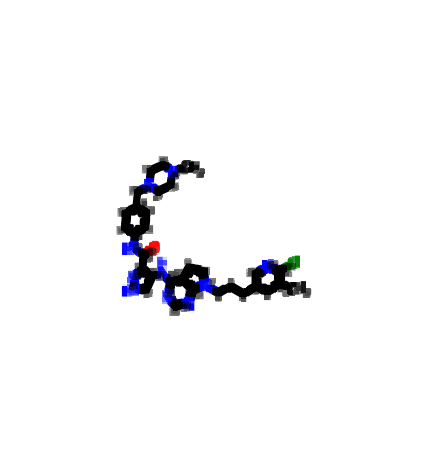 Cc1cc(CCCn2ccc3c(Nc4c[nH]nc4C(=O)Nc4ccc(CN5CCN(C)CC5)cc4)ncnc32)cnc1Cl